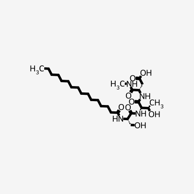 CCCCCCCCCCCCCCCC(=O)N[C@@H](CO)C(=O)N[C@H](C(=O)N[C@@H](CC(=O)O)C(=O)NC)[C@@H](C)O